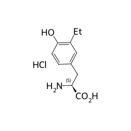 CCc1cc(C[C@H](N)C(=O)O)ccc1O.Cl